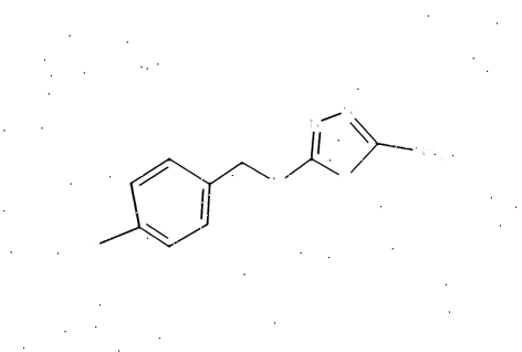 Nc1nnc(OCc2ccc(Br)cc2)s1